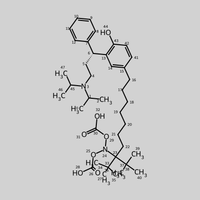 CC(C)N(CC[C@H](c1ccccc1)c1cc(CCCCCCCC(N(OC(=O)O)OC(=O)O)(C(C)(C)C)C(C)(C)C)ccc1O)C(C)C